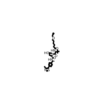 C#CCOCCCCCC(=O)N[C@H](C(=O)N1C[C@H](O)C[C@H]1C(=O)N[C@@H](C)c1ccc(-c2scnc2C)cc1)C(C)(C)C